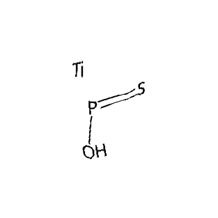 OP=S.[Ti]